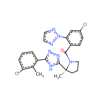 Cc1c(Cl)cccc1-c1nnc([C@]2(C)CCCN2C(=O)c2ccc(Cl)cc2-n2nccn2)[nH]1